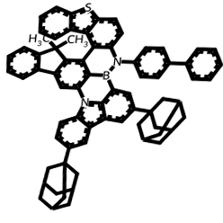 CC1(C)c2ccccc2-c2cc3c4c(c21)-c1c(ccc2sc5ccccc5c12)N(c1ccc(-c2ccccc2)cc1)B4c1cc(C24CC5CC(CC(C5)C2)C4)cc2c4cc(C56CC7CC(CC(C7)C5)C6)ccc4n-3c12